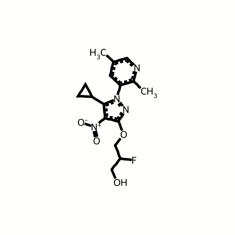 Cc1cnc(C)c(-n2nc(OCC(F)CO)c([N+](=O)[O-])c2C2CC2)c1